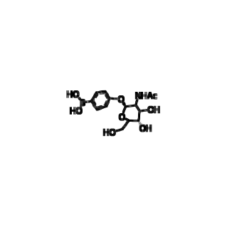 CC(=O)NC1C(O)[C@H](O)C(CO)O[C@H]1Oc1ccc(B(O)O)cc1